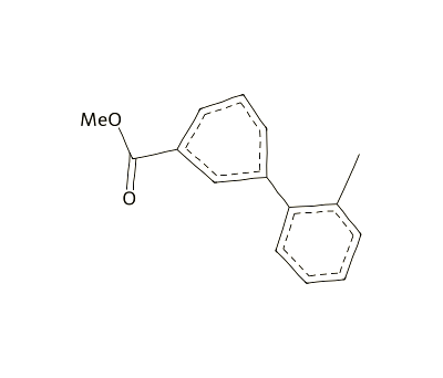 COC(=O)c1cccc(-c2ccccc2C)c1